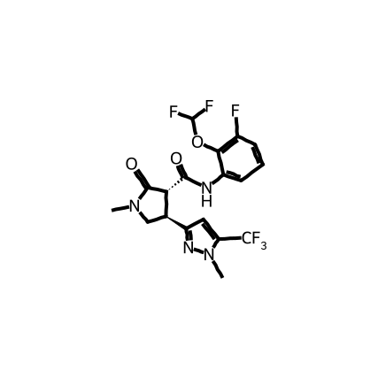 CN1C[C@H](c2cc(C(F)(F)F)n(C)n2)[C@@H](C(=O)Nc2cccc(F)c2OC(F)F)C1=O